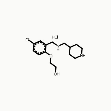 Cl.OCCOc1ccc(Cl)cc1CNCC1CCNCC1